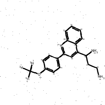 [2H]C([2H])([2H])Oc1ccc(-c2cc(C(N)CCN)c3ccccc3n2)cc1